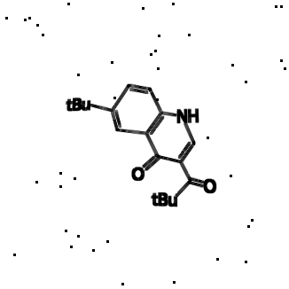 CC(C)(C)C(=O)c1c[nH]c2ccc(C(C)(C)C)cc2c1=O